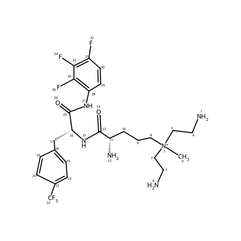 C[N+](CCN)(CCN)CCC[C@H](N)C(=O)N[C@H](Cc1ccc(C(F)(F)F)cc1)C(=O)Nc1ccc(F)c(F)c1F